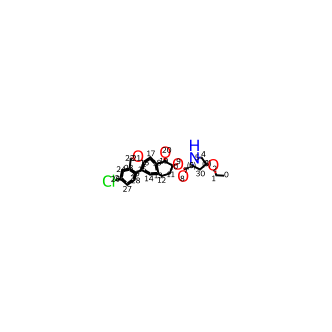 CCO[C@@H]1CN[C@H](C(=O)OC2CCc3cc4c(cc3C2=O)OCc2cc(Cl)ccc2-4)C1